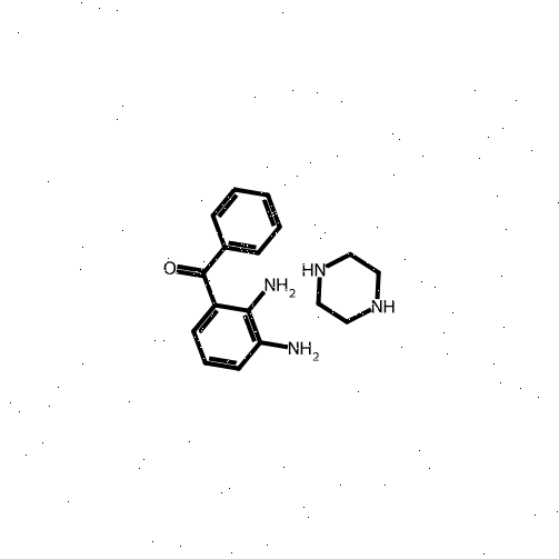 C1CNCCN1.Nc1cccc(C(=O)c2ccccc2)c1N